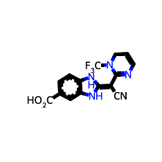 N#CC(C1=NC=CCN1C(F)(F)F)=C1Nc2ccc(C(=O)O)cc2N1